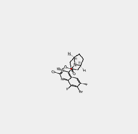 CC(C)(C)OC(=O)N1[C@@H]2CC[C@H]1CN(c1nc(Cl)nc3c(F)c(Br)c(F)cc13)C2